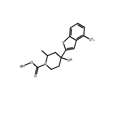 CC1CC(O)(c2cc3c(C(F)(F)F)cccc3s2)CCN1C(=O)OC(C)(C)C